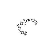 CS(=O)(=O)c1ccc(OC2CCN(C(=O)c3ccc(C(=O)NC4CCN(Cc5ccc(OC(F)(F)F)cc5)CC4)nc3)CC2)cc1